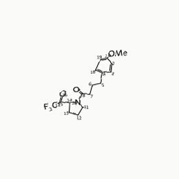 COc1ccc(CCCC(=O)N2CCCC2C(=O)C(F)(F)F)cc1